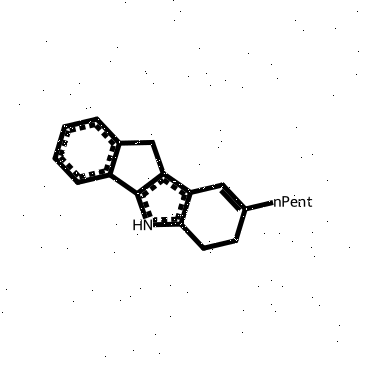 CCCCCC1=Cc2c([nH]c3c2Cc2ccccc2-3)CC1